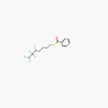 O=C(SCCCCC(F)C(F)(F)C(F)F)c1ccccc1